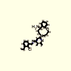 C=C\N=C(/C=C(CC)/N=C/c1cccc(CC)c1Cl)N1CCCOc2ccccc2[C@@H](N)CC1